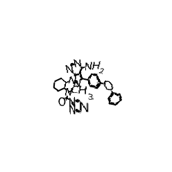 CN(C(=O)n1cncn1)C1CCCCC1n1nc(-c2ccc(Oc3ccccc3)cc2)c2c(N)ncnc21